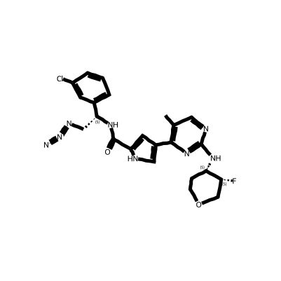 Cc1cnc(N[C@H]2CCOC[C@H]2F)nc1-c1c[nH]c(C(=O)N[C@H](CN=[N+]=[N-])c2cccc(Cl)c2)c1